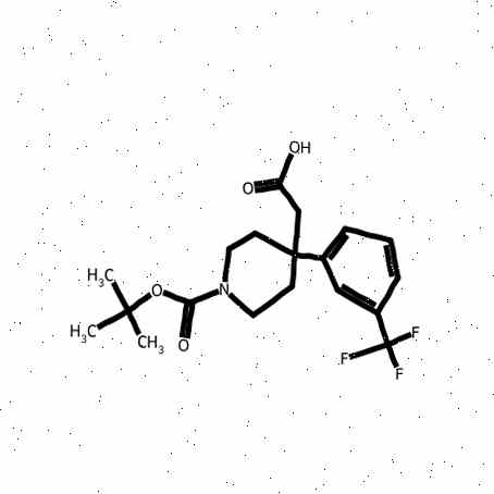 CC(C)(C)OC(=O)N1CCC(CC(=O)O)(c2cccc(C(F)(F)F)c2)CC1